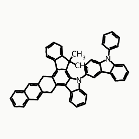 CC1(C)c2ccccc2-c2c3c(c4c5ccccc5n(-c5ccc6c(c5)c5ccccc5n6-c5ccccc5)c4c21)Cc1cc2ccccc2cc1C3